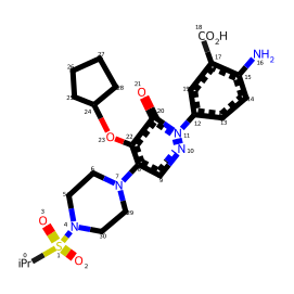 CC(C)S(=O)(=O)N1CCN(c2cnn(-c3ccc(N)c(C(=O)O)c3)c(=O)c2OC2CCCC2)CC1